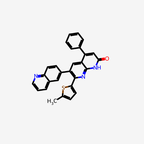 Cc1ccc(-c2nc3[nH]c(=O)cc(-c4ccccc4)c3cc2-c2ccc3ncccc3c2)s1